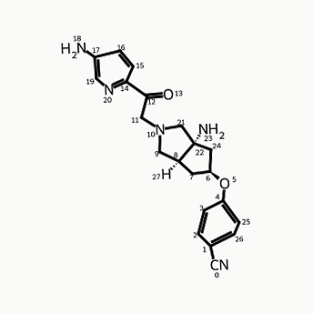 N#Cc1ccc(O[C@H]2C[C@H]3CN(CC(=O)c4ccc(N)cn4)C[C@@]3(N)C2)cc1